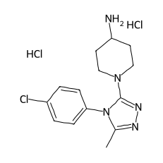 Cc1nnc(N2CCC(N)CC2)n1-c1ccc(Cl)cc1.Cl.Cl